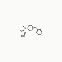 CN(C(=O)OC(C)(C)C)C1CCN(Cc2ccccc2)CC1